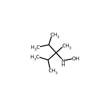 CC(C)C(C)(NO)C(C)C